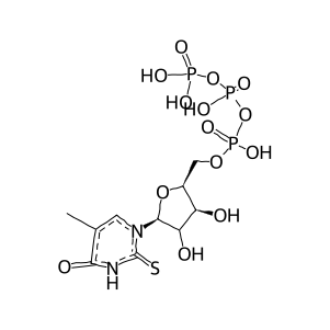 Cc1cn([C@H]2O[C@@H](COP(=O)(O)OP(=O)(O)OP(=O)(O)O)[C@@H](O)C2O)c(=S)[nH]c1=O